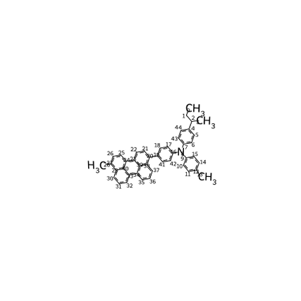 CCC(C)c1ccc(N(c2ccc(C)cc2)c2ccc(-c3ccc4c5ccc(C)c6cccc(c7cccc3c74)c65)cc2)cc1